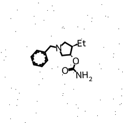 CC[C@@H]1CN(Cc2ccccc2)C[C@H]1OC(N)=O